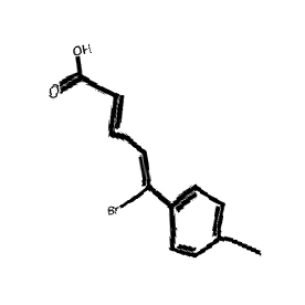 Cc1ccc(C(Br)=CC=CC(=O)O)cc1